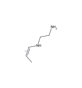 C/C=C\NCCN